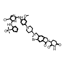 COc1cc(N2CCC(N(C)Cc3cc4c(cc3Br)C(=O)N(C3CCC(=O)NC3=O)C4)CC2)ccc1Nc1ncc(Cl)c(Nc2ccccc2P(C)(C)=O)n1